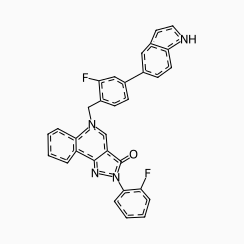 O=c1c2cn(Cc3ccc(-c4ccc5[nH]ccc5c4)cc3F)c3ccccc3c-2nn1-c1ccccc1F